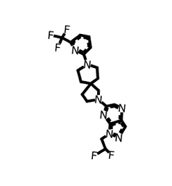 FC(F)Cn1ncc2ncc(N3CCC4(CCN(c5cccc(C(F)(F)F)n5)CC4)C3)nc21